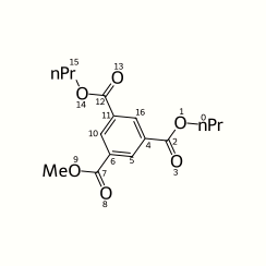 CCCOC(=O)c1cc(C(=O)OC)cc(C(=O)OCCC)c1